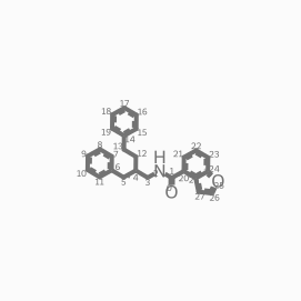 O=C(NCC([CH]c1ccccc1)CCc1ccccc1)c1cccc2occc12